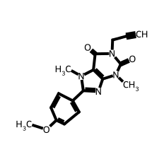 C#CCn1c(=O)c2c(nc(-c3ccc(OC)cc3)n2C)n(C)c1=O